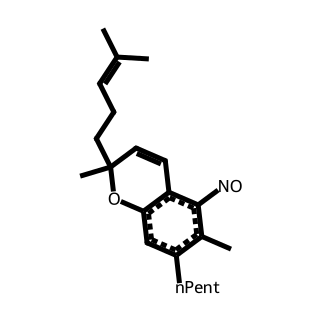 CCCCCc1cc2c(c(N=O)c1C)C=CC(C)(CCC=C(C)C)O2